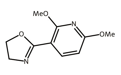 COc1ccc(C2=NCCO2)c(OC)n1